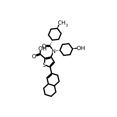 C[C@H]1CC[C@H](C(=O)N(c2cc(C3=CC4CCCCC4CC3)sc2C(=O)O)[C@H]2CC[C@H](O)CC2)CC1